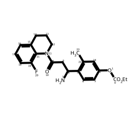 CCOC(=O)Oc1ccc(C(N)CC(=O)N2CCCc3cccc(F)c32)c(C)c1